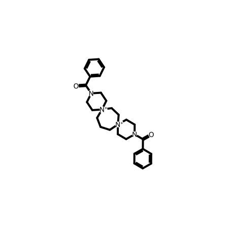 O=C(c1ccccc1)N1CC[N+]2(CCC[N+]3(CCN(C(=O)c4ccccc4)CC3)CC2)CC1